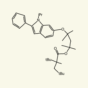 CC(C)n1c(-c2ccccc2)cc2ccc(OC(C)(C)CC(C)(C)OC(=O)C(C)(CC(C)(C)C)C(C)(C)C)cc21